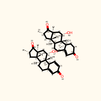 C[C@H]1C[C@H]2[C@@H]3CCC4=CC(=O)C=C[C@]4(C)[C@H]3[C@@H](O)C[C@]2(C)C1=O.C[C@H]1C[C@H]2[C@@H]3CCC4=CC(=O)CC[C@]4(C)[C@H]3[C@@H](O)C[C@]2(C)C1=O